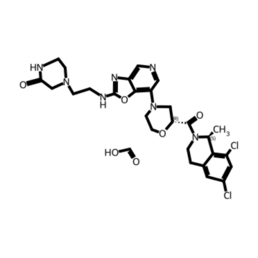 C[C@H]1c2c(Cl)cc(Cl)cc2CCN1C(=O)[C@H]1CN(c2cncc3nc(NCCN4CCNC(=O)C4)oc23)CCO1.O=CO